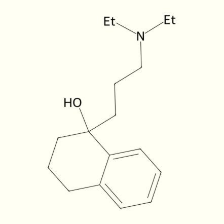 CCN(CC)CCCC1(O)CCCc2ccccc21